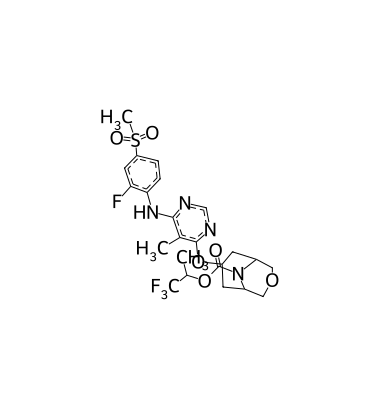 Cc1c(Nc2ccc(S(C)(=O)=O)cc2F)ncnc1OC1CC2COCC(C1)N2C(=O)OC(C)C(F)(F)F